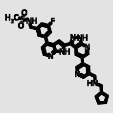 CS(=O)(=O)NCc1cc(F)cc(-c2ccnc3[nH]c(-c4n[nH]c5ncc(-c6cncc(CNCC7CCCC7)c6)cc45)cc23)c1